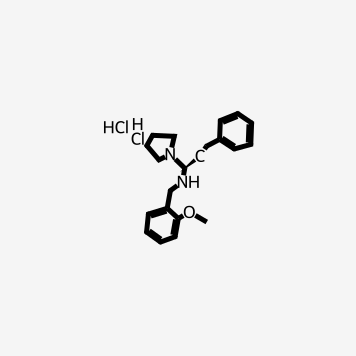 COc1ccccc1CN[C@H](CCc1ccccc1)N1CCCC1.Cl.Cl